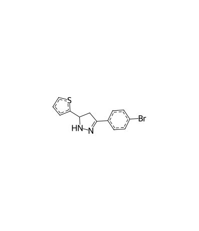 Brc1ccc(C2=NNC(c3cccs3)C2)cc1